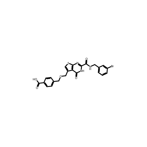 O=C(O)c1ccc(COCc2csc3nc(C(=O)NCc4cccc(Br)c4)[nH]c(=O)c23)cc1